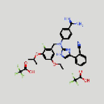 CCOc1cc(CN(c2ccc(C(=N)N)cc2)c2nc(-c3ccccc3C#N)c[nH]2)c(F)c(OC(C)C)c1.O=C(O)C(F)(F)F.O=C(O)C(F)(F)F